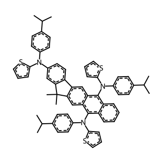 CC(C)c1ccc(N(c2ccc3c(c2)C(C)(C)c2cc4c(N(c5ccc(C(C)C)cc5)c5cccs5)c5ccccc5c(N(c5ccc(C(C)C)cc5)c5cccs5)c4cc2-3)c2cccs2)cc1